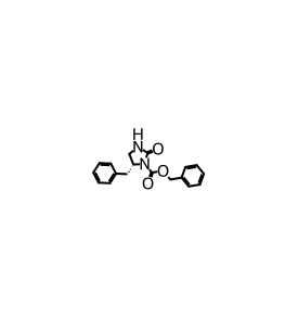 O=C1NC[C@@H](Cc2ccccc2)N1C(=O)OCc1ccccc1